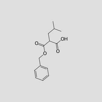 CC(C)CC(C(=O)O)C(=O)OCc1ccccc1